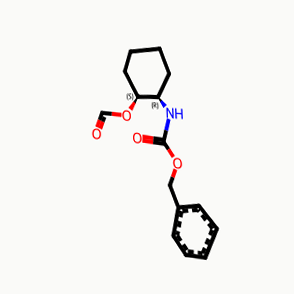 O=CO[C@H]1CCCC[C@H]1NC(=O)OCc1ccccc1